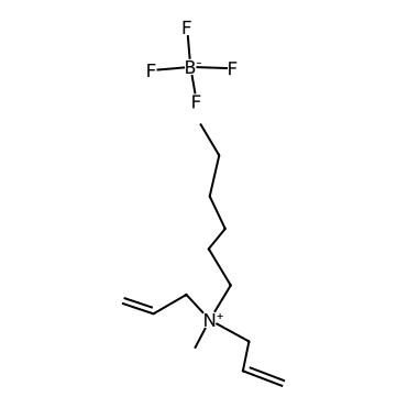 C=CC[N+](C)(CC=C)CCCCCC.F[B-](F)(F)F